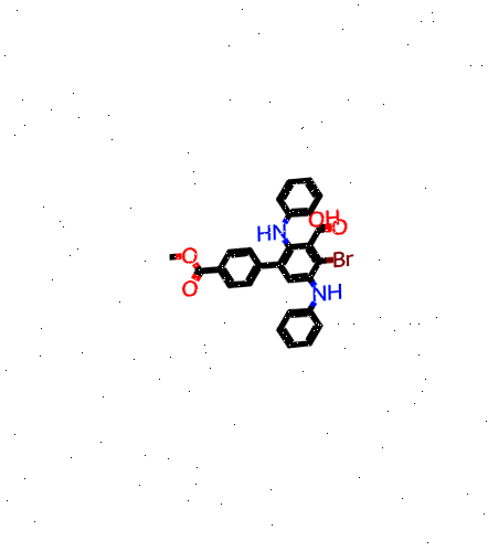 COC(=O)c1ccc(-c2cc(Nc3ccccc3)c(Br)c(C(=O)O)c2Nc2ccccc2)cc1